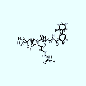 CC(C)(C)NC(=O)C[C@H](NC(=O)CCCNC(=O)O)C(=O)NCCNC(=O)c1cc(-c2ccccc2F)ccc1F